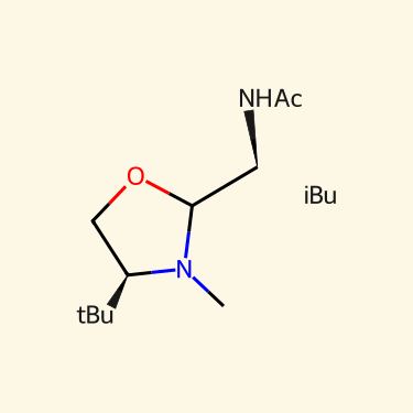 CC[C@H](C)[C@H](NC(C)=O)C1OC[C@H](C(C)(C)C)N1C